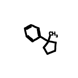 CC1(c2ccccc2)CCCC1